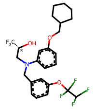 O[C@H](CN(Cc1cccc(OC(F)(F)C(F)F)c1)c1cccc(OCC2CCCCC2)c1)C(F)(F)F